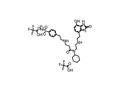 NS(=O)(=O)c1ccc(CCNCCC(=O)N(CCNCCc2ccc(O)c3[nH]c(=O)sc23)C2CCCCC2)cc1.O=C(O)C(F)(F)F.O=C(O)C(F)(F)F